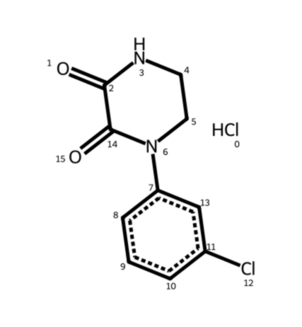 Cl.O=C1NCCN(c2cccc(Cl)c2)C1=O